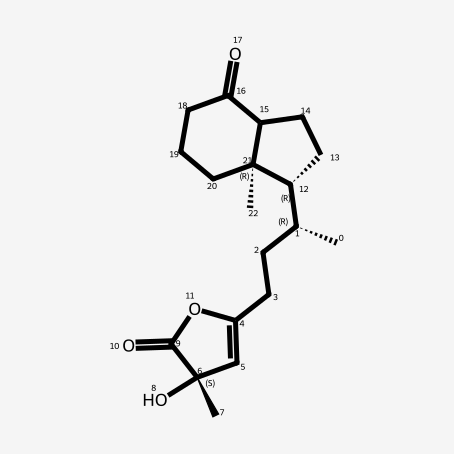 C[C@H](CCC1=C[C@](C)(O)C(=O)O1)[C@H]1CCC2C(=O)CCC[C@@]21C